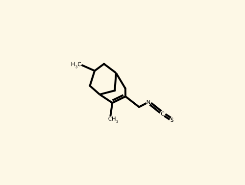 CC1=C(CN=C=S)CC2CC(C)CC1C2